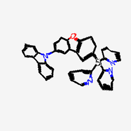 C1=CN=C([Si](c2ccc3oc4c(c3c2)C=C(n2c3ccccc3c3ccccc32)CC4)(c2ccccn2)c2ccccn2)CC1